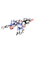 CCN(C#N)C(=O)C(Cc1ccc(O)cc1)NC(=O)c1ccc(NC(C)=O)cc1